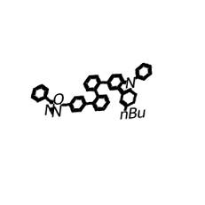 CCCCC1=Cc2c(n(-c3ccccc3)c3ccc(-c4ccccc4-c4ccccc4-c4ccc(-c5nnc(-c6ccccc6)o5)cc4)cc23)CC1